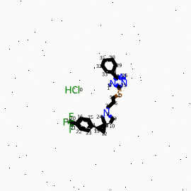 Cl.Cn1c(SCCCN2CC[C@@]3(C[C@H]3c3ccc(C(F)(F)F)cc3)C2)nnc1C1CCCCC1